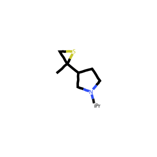 CC(C)N1CCC(C2(C)CS2)C1